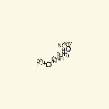 C[C@@H]1CN(c2cccc(-c3csc(NC(=O)CNC(=O)c4ccc5c(c4)[C@](C)(C#N)CN5C)n3)c2)C[C@H](C)O1